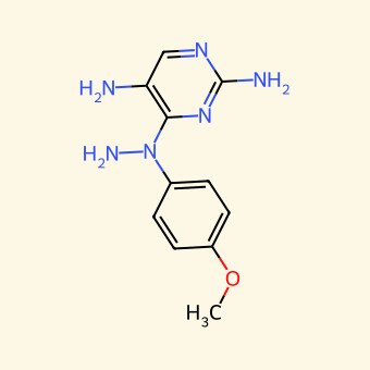 COc1ccc(N(N)c2nc(N)ncc2N)cc1